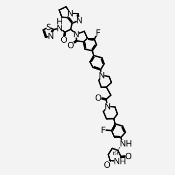 O=C1CC[C@H](Nc2ccc(C3CCN(C(=O)CC4CCN(c5ccc(-c6cc(F)c7c(c6)C(=O)N(C(C(=O)Nc6nccs6)c6ncn8c6CCC8)C7)cc5)CC4)CC3)c(F)c2)C(=O)N1